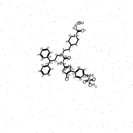 CC(C)(C)OC(=O)N1CCC(CCN(CCC(c2ccccc2)c2ccccc2)C(=O)Nc2nc(-c3ccc(NS(C)(=O)=O)cc3)c(Cl)s2)CC1